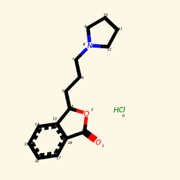 Cl.O=C1OC(CCCN2CCCC2)c2ccccc21